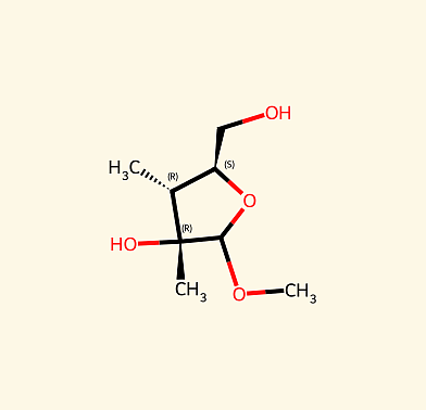 COC1O[C@H](CO)[C@@H](C)[C@@]1(C)O